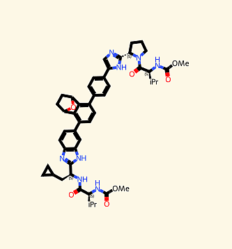 COC(=O)N[C@H](C(=O)N[C@@H](CC1CC1)c1nc2ccc(-c3ccc(-c4ccc(-c5cnc([C@@H]6CCCN6C(=O)[C@@H](NC(=O)OC)C(C)C)[nH]5)cc4)c4c3C3CCC4O3)cc2[nH]1)C(C)C